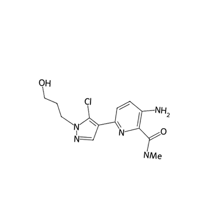 CNC(=O)c1nc(-c2cnn(CCCO)c2Cl)ccc1N